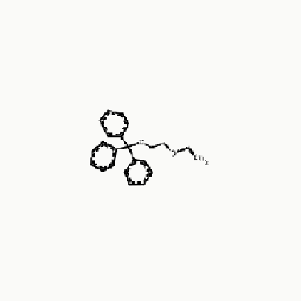 C=COCCOC(c1ccccc1)(c1ccccc1)c1ccccc1